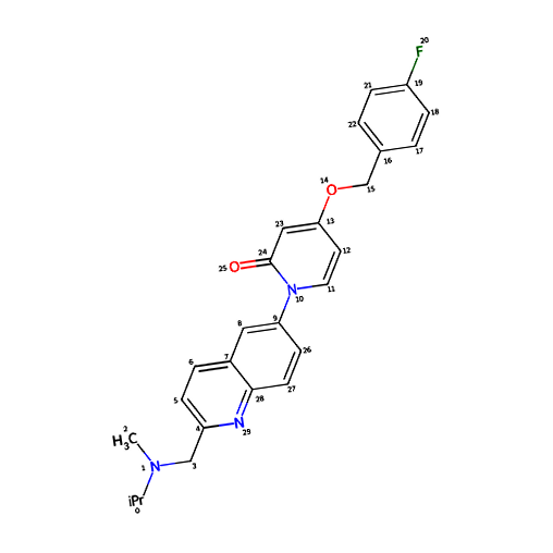 CC(C)N(C)Cc1ccc2cc(-n3ccc(OCc4ccc(F)cc4)cc3=O)ccc2n1